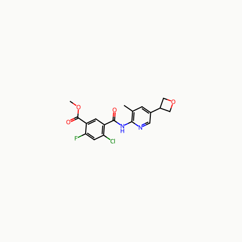 COC(=O)c1cc(C(=O)Nc2ncc(C3COC3)cc2C)c(Cl)cc1F